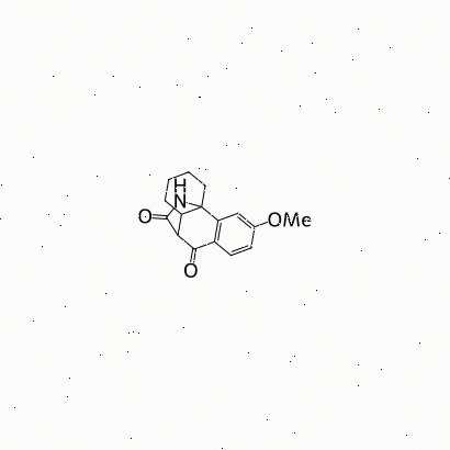 COc1ccc2c(c1)C13CCCCC1C(C(=O)N3)C2=O